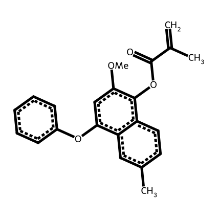 C=C(C)C(=O)Oc1c(OC)cc(Oc2ccccc2)c2cc(C)ccc12